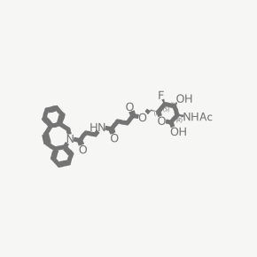 CC(=O)N[C@H]1C(O)O[C@H](COC(=O)CCC(=O)NCCC(=O)N2Cc3ccccc3C#Cc3ccccc32)[C@@H](F)[C@@H]1O